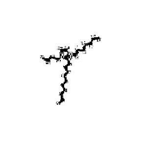 CCCCCCCCCCc1n(CCCCCCC)cc[n+]1CCCC